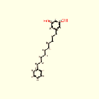 Oc1cc(O)cc(CCCCCCCCCCc2ccccc2)c1